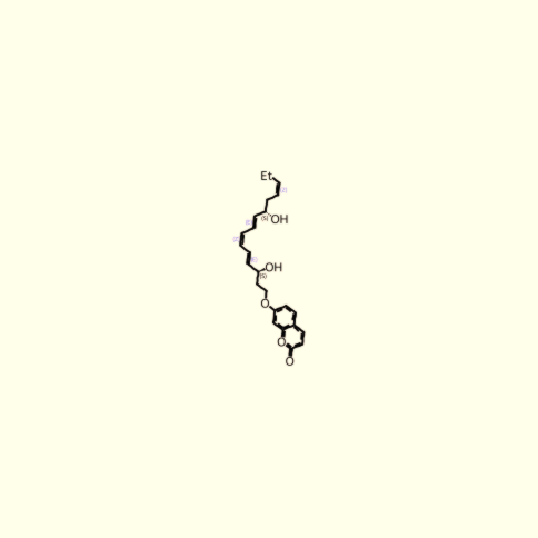 CC/C=C\C[C@H](O)/C=C/C=C\C=C\[C@@H](O)CCOc1ccc2ccc(=O)oc2c1